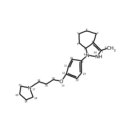 CC1=C2CCCCC2N(c2ccc(OCCCN3CCCC3)cc2)N1